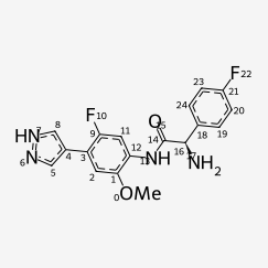 COc1cc(-c2cn[nH]c2)c(F)cc1NC(=O)[C@H](N)c1ccc(F)cc1